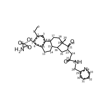 CCc1cc2c(cc1OS(N)(=O)=O)CCC1C2CC[C@]2(C)C(=O)C(CC(=O)NCc3ccccn3)CC12